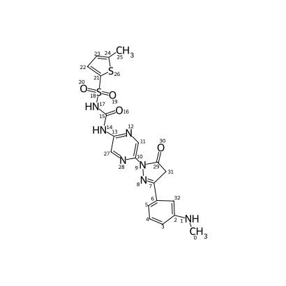 CNc1cccc(C2=NN(c3cnc(NC(=O)NS(=O)(=O)c4ccc(C)s4)cn3)C(=O)C2)c1